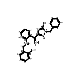 N=C(c1nc(F)n(Cc2ccccc2)n1)c1cccnc1NCc1ccccc1F